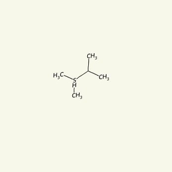 CC(C)[SH](C)C